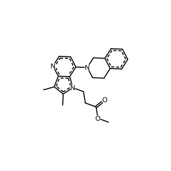 COC(=O)CCn1c(C)c(C)c2nccc(N3CCc4ccccc4C3)c21